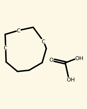 C1CCCCCCCCC1.O=C(O)O